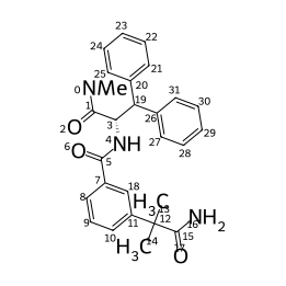 CNC(=O)[C@@H](NC(=O)c1cccc(C(C)(C)C(N)=O)c1)C(c1ccccc1)c1ccccc1